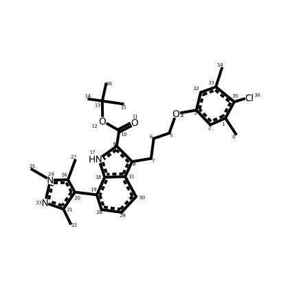 Cc1cc(OCCCc2c(C(=O)OC(C)(C)C)[nH]c3c(-c4c(C)nn(C)c4C)cccc23)cc(C)c1Cl